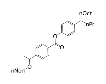 CCCCCCCCCOC(C)c1ccc(C(=O)Oc2ccc(C(CCC)CCCCCCCC)cc2)cc1